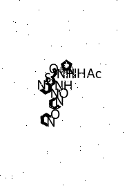 CC(=O)N[C@H]1CCC[C@H]1NC(=O)c1sc2nccc3c2c1NC(=O)N3c1ccc(Oc2ccccn2)cn1